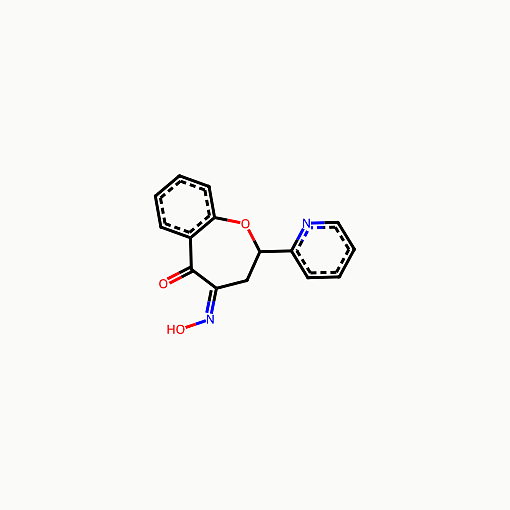 O=C1C(=NO)CC(c2ccccn2)Oc2ccccc21